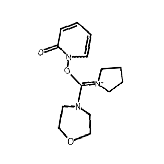 O=c1ccccn1OC(N1CCOCC1)=[N+]1CCCC1